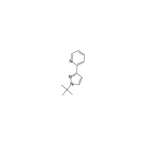 CC(C)(C)n1ccc(-c2ccccn2)n1